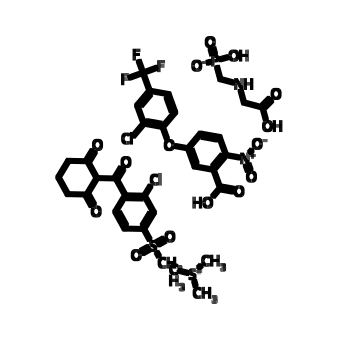 CS(=O)(=O)c1ccc(C(=O)C2C(=O)CCCC2=O)c(Cl)c1.C[S+](C)C.O=C(O)CNCP(=O)([O-])O.O=C(O)c1cc(Oc2ccc(C(F)(F)F)cc2Cl)ccc1[N+](=O)[O-]